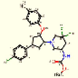 CC(C)(C)OC(=O)N[C@H]1CN(C2CC(c3ccc(F)cc3)CC2Oc2ccc(C#N)cc2)CC(F)(F)C1